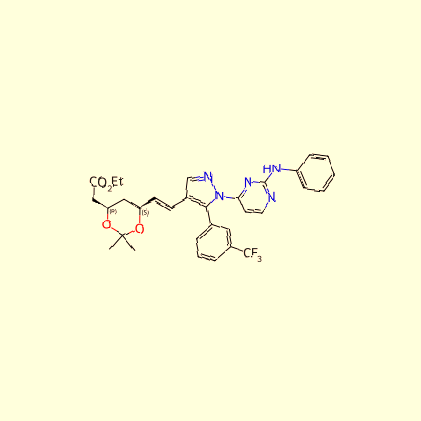 CCOC(=O)C[C@H]1C[C@@H](C=Cc2cnn(-c3ccnc(Nc4ccccc4)n3)c2-c2cccc(C(F)(F)F)c2)OC(C)(C)O1